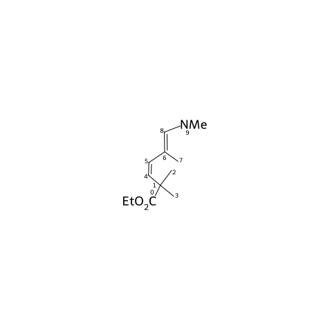 CCOC(=O)C(C)(C)/C=C\C(C)=C\NC